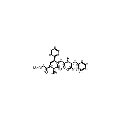 COCC(=O)N1C=C(c2ccccc2)N(CC(=O)N[C@@H](Cc2ccccc2)C(=O)C(=O)O)C(=O)[C@H]1C(C)C